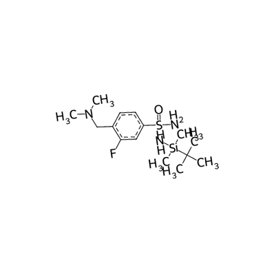 CN(C)Cc1ccc([SH](N)(=O)N[Si](C)(C)C(C)(C)C)cc1F